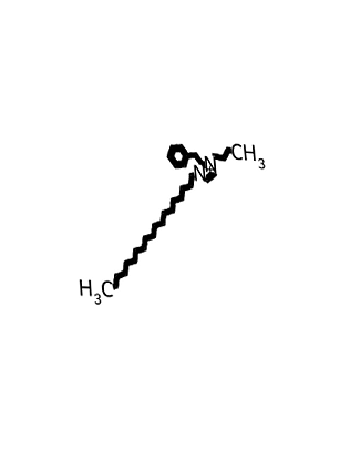 CCCCCCCCCCCCCCCCCCC[n+]1ccn(CCCC)c1Cc1ccccc1